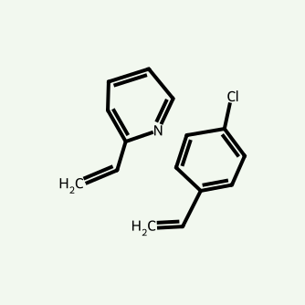 C=Cc1ccc(Cl)cc1.C=Cc1ccccn1